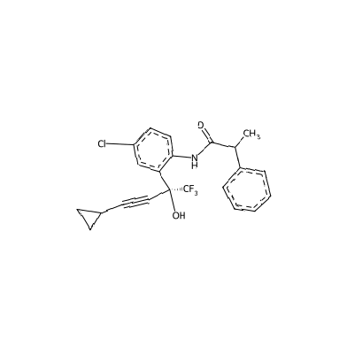 CC(C(=O)Nc1ccc(Cl)cc1[C@@](O)(C#CC1CC1)C(F)(F)F)c1ccccc1